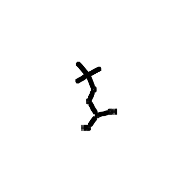 CC(C)(C)OOB(O)O